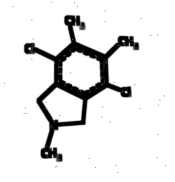 Cc1c(C)c(Cl)c2c(c1Cl)CN(C)C2